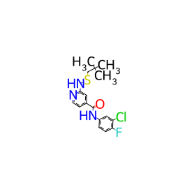 CC(C)(C)CSNc1cc(C(=O)Nc2ccc(F)c(Cl)c2)ccn1